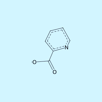 [O]C(=O)c1ccccn1